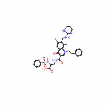 O=C(NCC(NS(=O)(=O)c1ccccc1)C(=O)O)c1cn(CCc2ccccc2)c2c(F)c(CNC3N=CCCN3)c(F)cc2c1=O